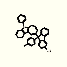 Cc1ccc(C2(C3=Cc4c5c(n(-c6ccccc6)c4CC=C3)C=CCC5)c3ccccc3-c3cc(C#N)ccc32)cc1